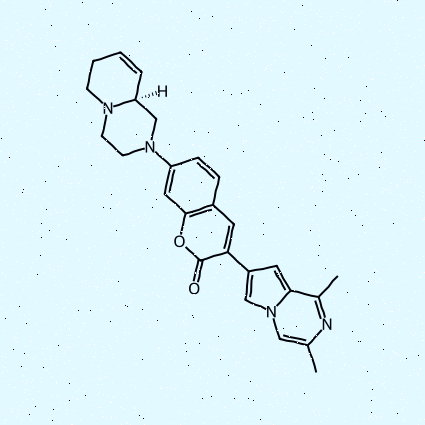 Cc1cn2cc(-c3cc4ccc(N5CCN6CCC=C[C@H]6C5)cc4oc3=O)cc2c(C)n1